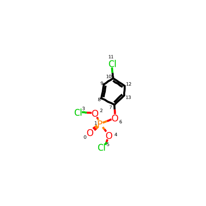 O=P(OCl)(OCl)Oc1ccc(Cl)cc1